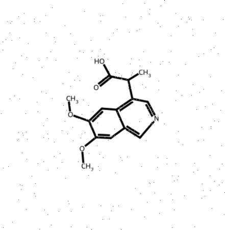 COc1cc2cncc(C(C)C(=O)O)c2cc1OC